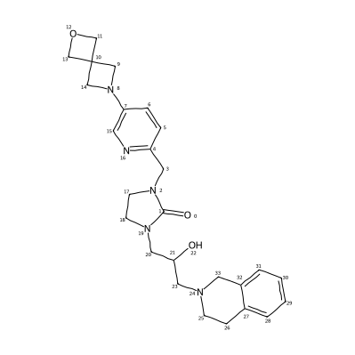 O=C1N(Cc2ccc(N3CC4(COC4)C3)cn2)CCN1CC(O)CN1CCc2ccccc2C1